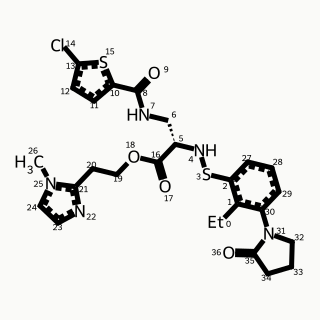 CCc1c(SN[C@@H](CNC(=O)c2ccc(Cl)s2)C(=O)OCCc2nccn2C)cccc1N1CCCC1=O